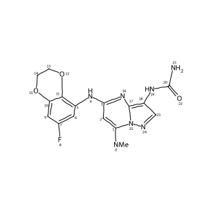 CNc1cc(Nc2cc(F)cc3c2OCCO3)nc2c(NC(N)=O)cnn12